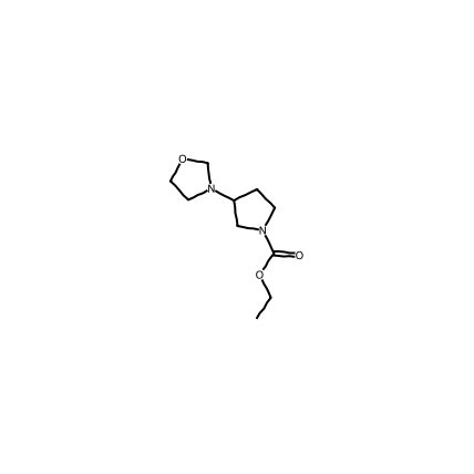 CCOC(=O)N1CCC(N2CCOC2)C1